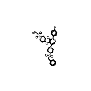 CCCS(=O)(=O)N1CCC(Oc2c(N3CCN(S(=O)(=O)Cc4ccccc4)CC3)cnn(-c3ccc(F)cc3)c2=O)CC1